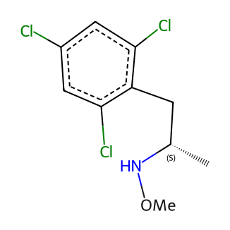 CON[C@@H](C)Cc1c(Cl)cc(Cl)cc1Cl